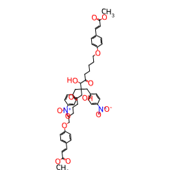 COC(=O)/C=C/c1ccc(OCCCCCC(=O)C(O)C(Cc2ccc([N+](=O)[O-])cc2)(Cc2ccc([N+](=O)[O-])cc2)C(O)C(=O)CCCCCOc2ccc(/C=C/C(=O)OC)cc2)cc1